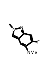 CNc1cc2cn(C)nc2cc1F